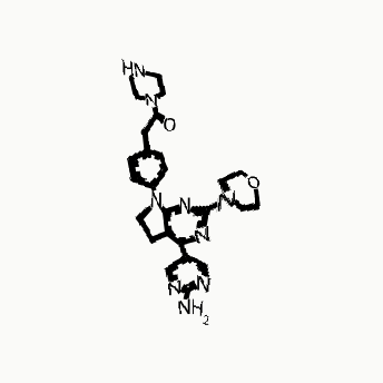 Nc1ncc(-c2nc(N3CCOCC3)nc3c2CCN3c2ccc(CC(=O)N3CCNCC3)cc2)cn1